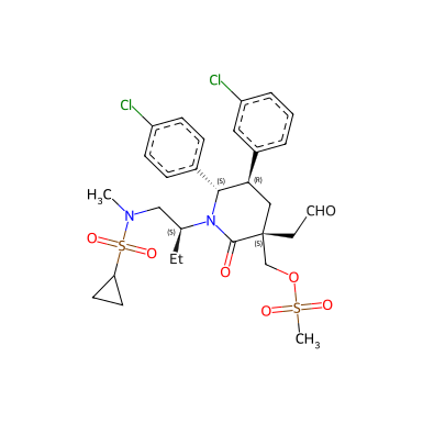 CC[C@@H](CN(C)S(=O)(=O)C1CC1)N1C(=O)[C@@](CC=O)(COS(C)(=O)=O)C[C@H](c2cccc(Cl)c2)[C@H]1c1ccc(Cl)cc1